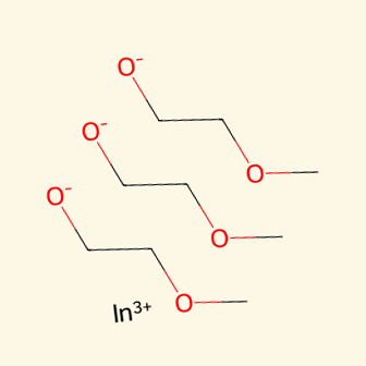 COCC[O-].COCC[O-].COCC[O-].[In+3]